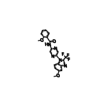 COc1ccc2c(c1)nc(C(F)(F)F)n2-c1cnc(NC(=O)c2ccccc2OC)cn1